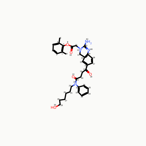 Cc1cccc(C)c1OC(=O)CN1Cc2cc(C(=O)CCC(=O)N(CCCCCCO)c3ccccc3)ccc2N=C1N